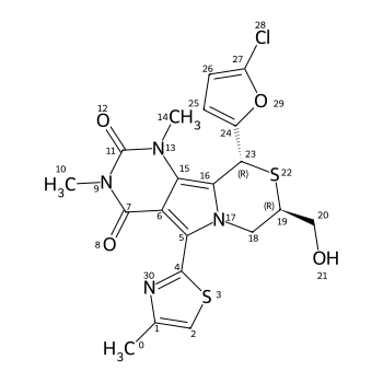 Cc1csc(-c2c3c(=O)n(C)c(=O)n(C)c3c3n2C[C@H](CO)S[C@H]3c2ccc(Cl)o2)n1